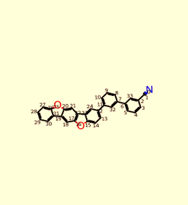 N#Cc1cccc(-c2cccc(-c3ccc4oc5cc6c(cc5c4c3)oc3ccccc36)c2)c1